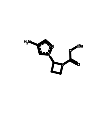 CC(C)(C)OC(=O)N1CCC1n1cc(N)cn1